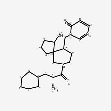 C[C@H](CC1CCCCC1)C(=O)N1CCC(Cn2cnccc2=O)C2(CCCC2O)C1